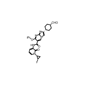 CC(C)Oc1nc2nc([C@H]3CC[C@H](C=O)CC3)cn2cc1C(=O)Nc1cccn([C@H]2C[C@H]2F)c1=O